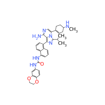 CNC1CC=C(c2cnc(N)c3c(-c4cccc5c(NC(=O)Nc6ccc7c(c6)OCCO7)cccc45)nc(C(C)C)n23)CC1